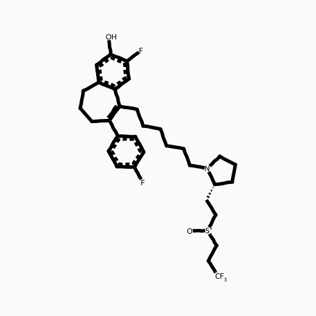 [O-][S+](CC[C@H]1CCCN1CCCCCCC1=C(c2ccc(F)cc2)CCCc2cc(O)c(F)cc21)CCC(F)(F)F